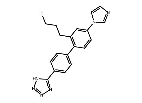 FCCCc1cc(-n2ccnc2)ccc1-c1ccc(-c2nnn[nH]2)cc1